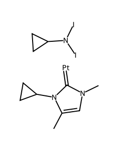 Cc1cn(C)[c](=[Pt])n1C1CC1.IN(I)C1CC1